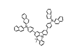 CC1(C)c2ccccc2-n2c3ccc(-c4ccc(N(c5ccc6ccccc6c5)c5ccc6ccccc6c5)cc4)cc3c3cc(-c4ccc(N(c5ccc6ccccc6c5)c5ccc6ccccc6c5)cc4)cc1c32